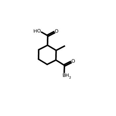 BC(=O)C1CCCC(C(=O)O)C1C